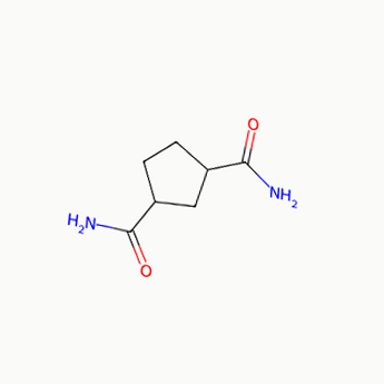 NC(=O)C1CCC(C(N)=O)C1